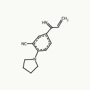 C=CC(=N)c1ccc(N2CCCC2)c(C#N)c1